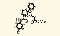 COC(=O)CCCC1(c2ccccc2)CCCN(C(=O)Nc2ccc(Cl)cc2)C1